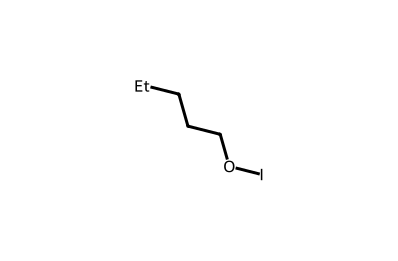 CCCCCOI